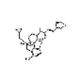 CN(C(=O)/C=C/c1ccoc1)[C@@H]1CC[C@H]2[C@H]3Cc4c(O)ccc5c4[C@@]2(CCN3CC2CC2)[C@H]1O5